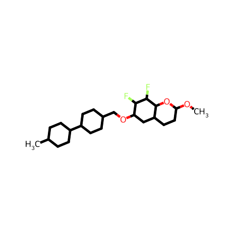 COC1CCC2CC(OCC3CCC(C4CCC(C)CC4)CC3)C(F)C(F)C2O1